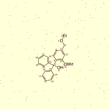 [CH2]COCc1ccc(C(O)(c2ccccc2)c2ccccc2)c(OC)c1